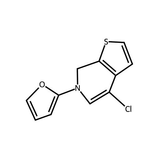 ClC1=CN(c2ccco2)Cc2sccc21